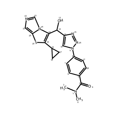 CN(C)C(=O)c1ccc(-n2cc(C(O)c3c(C4CC4)sc4cncn34)nn2)cc1